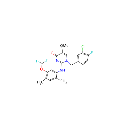 COc1cn(Cc2ccc(F)c(Cl)c2)c(Nc2cc(OC(F)F)c(C)cc2C)nc1=O